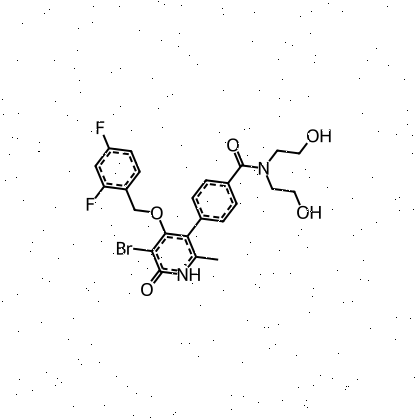 Cc1[nH]c(=O)c(Br)c(OCc2ccc(F)cc2F)c1-c1ccc(C(=O)N(CCO)CCO)cc1